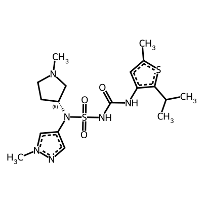 Cc1cc(NC(=O)NS(=O)(=O)N(c2cnn(C)c2)[C@@H]2CCN(C)C2)c(C(C)C)s1